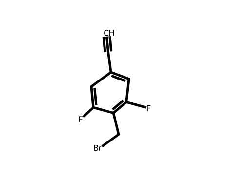 C#Cc1cc(F)c(CBr)c(F)c1